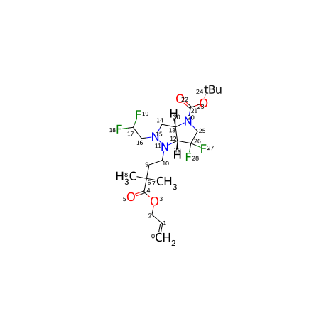 C=CCOC(=O)C(C)(C)CCN1[C@@H]2[C@H](CN1CC(F)F)N(C(=O)OC(C)(C)C)CC2(F)F